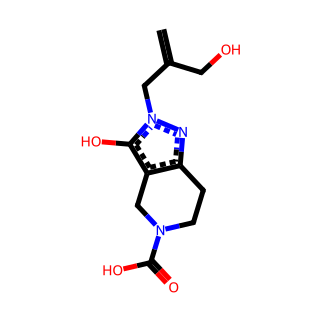 C=C(CO)Cn1nc2c(c1O)CN(C(=O)O)CC2